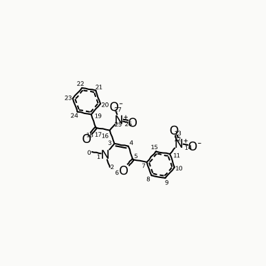 CN(C)C(=CC(=O)c1cccc([N+](=O)[O-])c1)C(C(=O)c1ccccc1)[N+](=O)[O-]